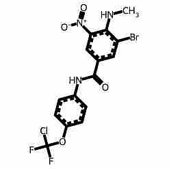 CNc1c(Br)cc(C(=O)Nc2ccc(OC(F)(F)Cl)cc2)cc1[N+](=O)[O-]